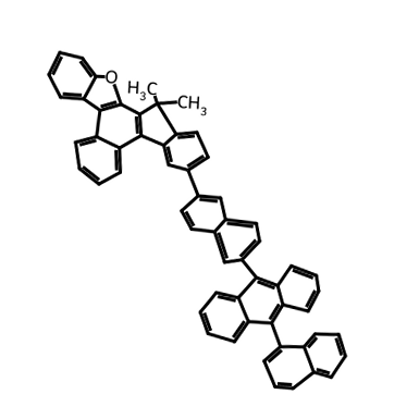 CC1(C)c2ccc(-c3ccc4cc(-c5c6ccccc6c(-c6cccc7ccccc67)c6ccccc56)ccc4c3)cc2-c2c1c1oc3ccccc3c1c1ccccc21